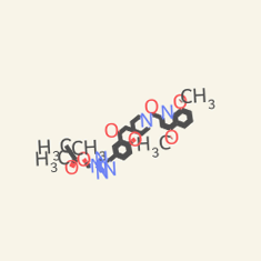 COc1cc(C(=O)N2CCC3(CC2)CC(=O)c2cc(-c4nnn(COC(=O)C(C)(C)C)n4)ccc2O3)nc2c(OC)cccc12